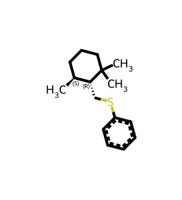 C[C@H]1CCCC(C)(C)[C@@H]1CSc1ccccc1